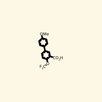 COc1ccc(-c2ccc(OC(F)(F)F)c(C(=O)O)c2)cc1